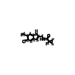 CC(C)c1cc2[nH]c(CNC(=O)C3(F)CC3)cc2cc1Cl